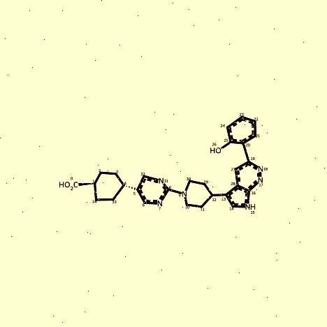 O=C(O)[C@H]1CC[C@H](c2cnc(N3CCC(c4c[nH]c5nnc(-c6ccccc6O)cc45)CC3)nc2)CC1